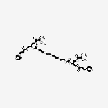 C=C(C)C(=O)OCC(COC(=O)CCn1ccnc1)OC(=O)OCCOCCOCCOCCOC(=O)OC(COC(=O)CCn1ccnc1)COC(=O)C(=C)C